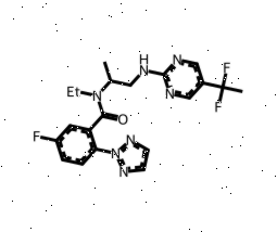 CCN(C(=O)c1cc(F)ccc1-n1nccn1)C(C)CNc1ncc(C(C)(F)F)cn1